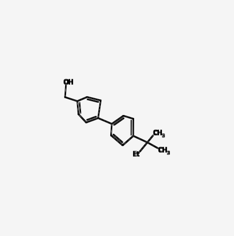 CCC(C)(C)c1ccc(-c2ccc(CO)cc2)cc1